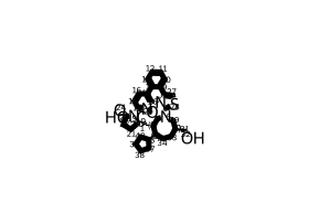 O=C(O)C[C@@H]1C(=O)N(c2nc(-c3ccccc3-c3ccc(N4CCCC4=O)nc3)cs2)C[C@@H](CO)CC[C@H]1C1CCCC1